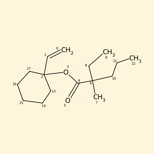 C=CC1(OC(=O)C(C)(CC)CCC)CCCCC1